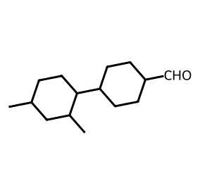 CC1CCC(C2CCC(C=O)CC2)C(C)C1